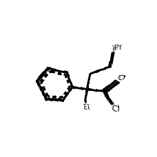 CCC(CCC(C)C)(C(=O)Cl)c1ccccc1